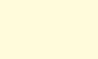 CP(=O)(O)CC(=O)CCCCO